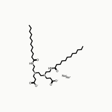 CCCCCCCCCCCC(=O)NCCN(CCC(=O)[O-])CCN(CCNC(=O)CCCCCCCCCCC)CCC(=O)[O-].[Na+].[Na+]